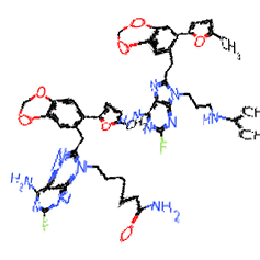 Cc1ccc(-c2cc3c(cc2Cc2nc4c(N)nc(F)nc4n2CCCCCC(N)=O)OCO3)o1.Cc1ccc(-c2cc3c(cc2Cc2nc4c(N)nc(F)nc4n2CCCNC(C)C)OCO3)o1